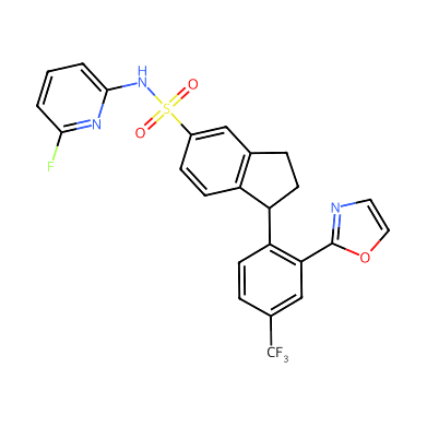 O=S(=O)(Nc1cccc(F)n1)c1ccc2c(c1)CCC2c1ccc(C(F)(F)F)cc1-c1ncco1